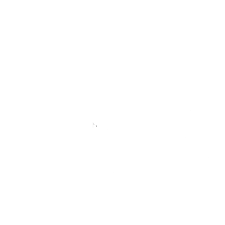 c1ccc(-c2ccc(N(c3ccc(-c4cc5ccccc5c5ccccc45)cc3)c3cc4c5ccccc5oc4c4ccccc34)cc2)cc1